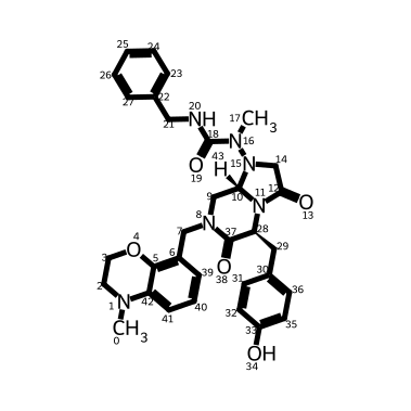 CN1CCOc2c(CN3C[C@H]4N(C(=O)CN4N(C)C(=O)NCc4ccccc4)[C@@H](Cc4ccc(O)cc4)C3=O)cccc21